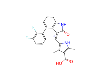 Cc1[nH]c(/C=C2\C(=O)Nc3cccc(-c4cccc(F)c4F)c32)c(C)c1C(=O)O